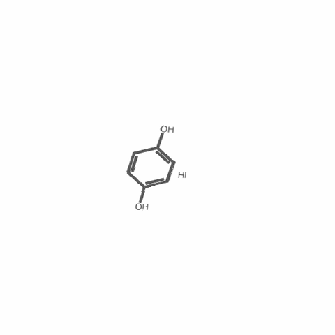 I.Oc1ccc(O)cc1